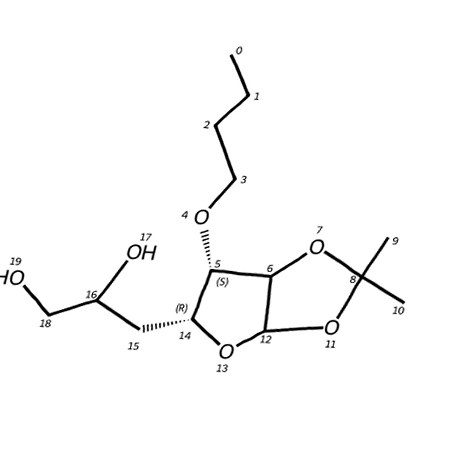 CCCCO[C@@H]1C2OC(C)(C)OC2O[C@@H]1CC(O)CO